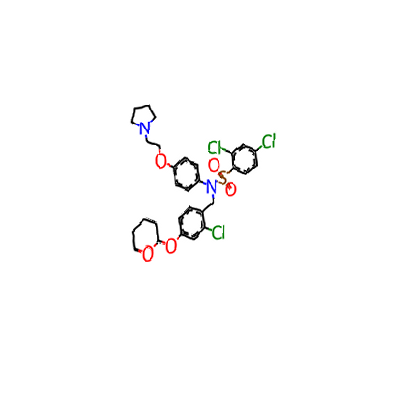 O=S(=O)(c1ccc(Cl)cc1Cl)N(Cc1ccc(OC2CCCCO2)cc1Cl)c1ccc(OCCN2CCCC2)cc1